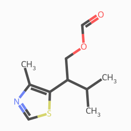 Cc1ncsc1C(COC=O)C(C)C